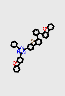 c1ccc(-c2nc(-c3ccc4c(c3)oc3ccccc34)nc(-c3ccc4c(c3)sc3c(-c5ccccc5-c5cccc6c5oc5ccccc56)cccc34)n2)cc1